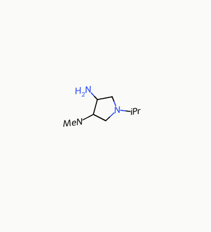 CNC1CN(C(C)C)CC1N